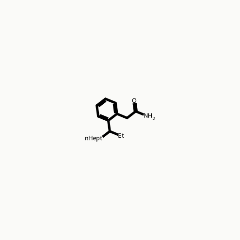 CCCCCCCC(CC)c1ccccc1CC(N)=O